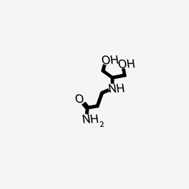 NC(=O)CCNC(CO)CO